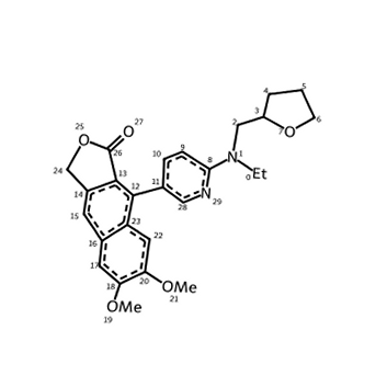 CCN(CC1CCCO1)c1ccc(-c2c3c(cc4cc(OC)c(OC)cc24)COC3=O)cn1